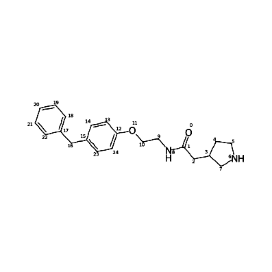 O=C(CC1CCNC1)NCCOc1ccc(Cc2ccccc2)cc1